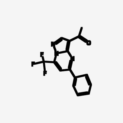 CC(=O)c1cnn2c(C(F)(F)F)cc(-c3ccccc3)nc12